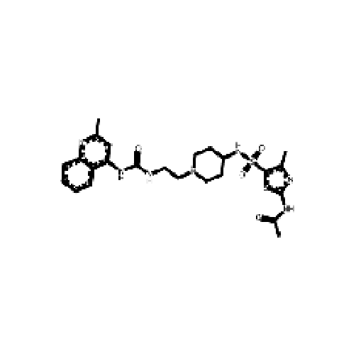 CC(=O)Nc1nc(C)c(S(=O)(=O)NC2CCN(CCNC(=O)Nc3cc(C)nc4ccccc34)CC2)s1